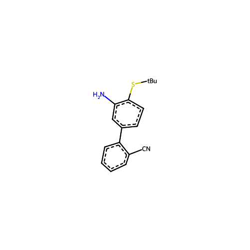 CC(C)(C)Sc1ccc(-c2ccccc2C#N)cc1N